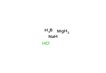 B.Cl.[MgH2].[NaH]